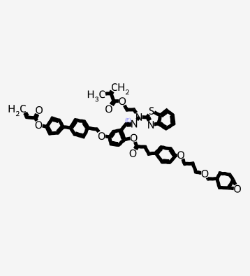 C=CC(=O)Oc1ccc(-c2ccc(COc3ccc(OC(=O)CCc4ccc(OCCCOCC5CCC6OC6C5)cc4)c(/C=N/N(CCOC(=O)C(=C)C)c4nc5ccccc5s4)c3)cc2)cc1